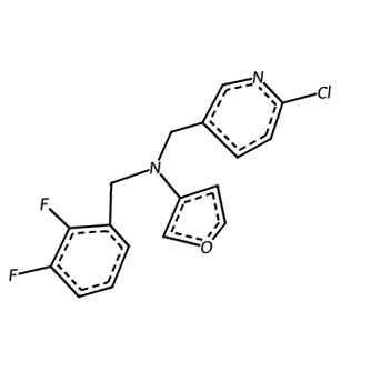 Fc1cccc(CN(Cc2ccc(Cl)nc2)c2ccoc2)c1F